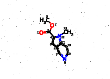 COC(=O)c1cc2cnccc2n1C